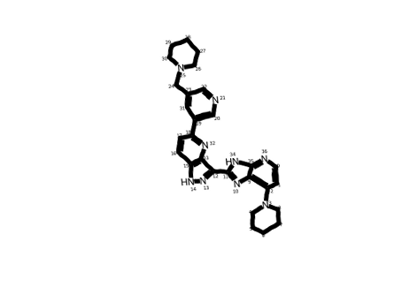 c1cc(N2CCCCC2)c2nc(-c3n[nH]c4ccc(-c5cncc(CN6CCCCC6)c5)nc34)[nH]c2n1